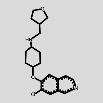 Clc1cc2cnccc2cc1OC1CCC(NCC2CCOC2)CC1